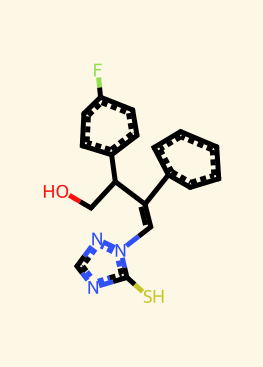 OCC(C(=Cn1ncnc1S)c1ccccc1)c1ccc(F)cc1